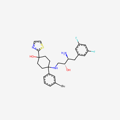 CC(C)(C)c1cccc(C2(NC[C@@H](O)[C@@H](N)Cc3cc(F)cc(F)c3)CCC(O)(c3nccs3)CC2)c1